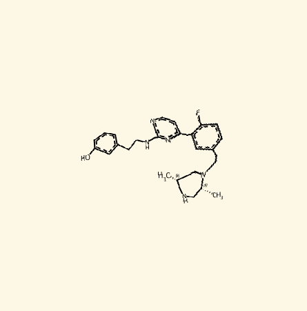 C[C@@H]1CN(Cc2ccc(F)c(-c3ccnc(NCCc4cccc(O)c4)n3)c2)[C@H](C)CN1